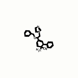 CC1(C#N)C=CC(C(Cn2ccnc2)OCc2ccccc2)=CC1c1ccccc1